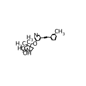 Cc1cccc(C#Cc2cncc(OCC3(C(C)(C)C)CCN3C(=O)O)c2)c1